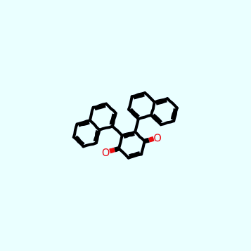 O=C1C=CC(=O)C(c2cccc3ccccc23)=C1c1cccc2ccccc12